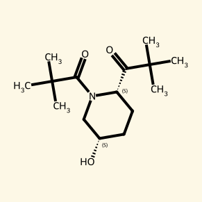 CC(C)(C)C(=O)[C@@H]1CC[C@H](O)CN1C(=O)C(C)(C)C